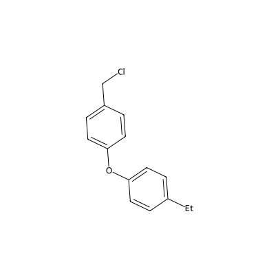 CCc1ccc(Oc2ccc(CCl)cc2)cc1